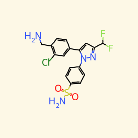 NCc1ccc(-c2cc(C(F)F)nn2-c2ccc(S(N)(=O)=O)cc2)cc1Cl